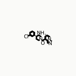 N[C@@H]1CN(C(=O)c2cccn3cncc23)CC[C@H]1c1cccc(Cl)c1